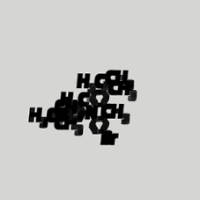 Cc1cc(C(C)(C)C)cc(C)c1N(c1ccc(Br)cc1)c1ccc([Si](C)(C)C)cc1